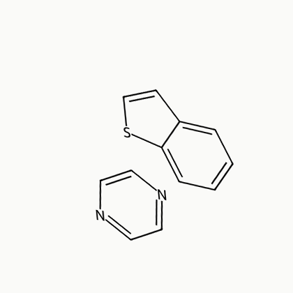 c1ccc2sccc2c1.c1cnccn1